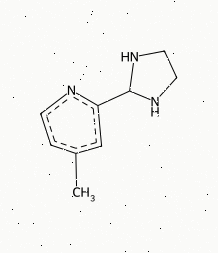 Cc1ccnc(C2NCCN2)c1